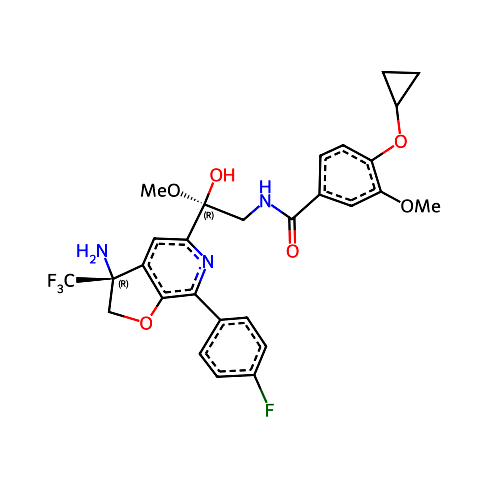 COc1cc(C(=O)NC[C@@](O)(OC)c2cc3c(c(-c4ccc(F)cc4)n2)OC[C@@]3(N)C(F)(F)F)ccc1OC1CC1